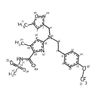 Cc1cc(CN(CCc2ccc(OC(F)(F)F)cc2)c2nc(C(=O)NS(C)(=O)=O)c(C)s2)no1